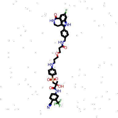 CC(O)(CS(=O)(=O)c1ccc(NCCCOCCC(=O)NCc2ccc(-c3[nH]c4cc(F)cc5c4c3CCNC5=O)cc2)cc1)C(=O)Nc1ccc(C#N)c(C(F)(F)F)c1